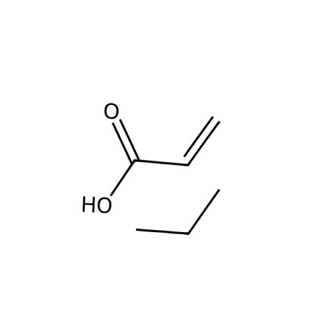 C=CC(=O)O.CCC